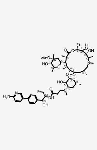 CC[C@H]1OC(=O)[C@H](C)C([C@H]2C[C@@](C)(OC)[C@@H](O)[C@H](C)O2)[C@H](C)[C@@H](O[C@@H]2O[C@H](C)C[C@H](N(C)CCC(=O)N[C@H](CF)[C@H](O)c3ccc(-c4ccc(N)nc4)cc3)[C@H]2O)[C@](C)(O)C[C@@H](C)CN(C)[C@H](C)[C@@H](O)[C@]1(C)O